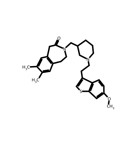 COc1ccc2c(CCN3CCCC(CN4CCc5cc(C)c(C)cc5CC4=O)C3)csc2c1